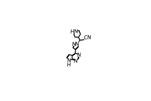 N#CCC(C1CCNCC1)n1cc(-c2ncnc3[nH]ccc23)cn1